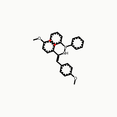 COc1ccc(C=C(NN(c2ccccc2)c2ccccc2)c2ccc(OC)cc2)cc1